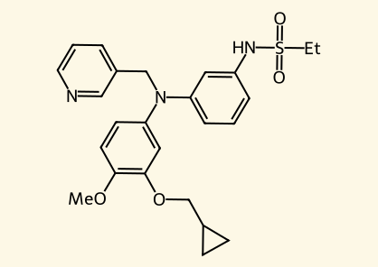 CCS(=O)(=O)Nc1cccc(N(Cc2cccnc2)c2ccc(OC)c(OCC3CC3)c2)c1